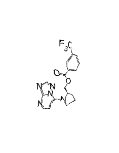 O=C(OC[C@H]1CCCN1c1ccnc2ncnn12)c1cccc(C(F)(F)F)c1